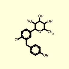 CC1OC(c2ccc(Cl)c(Cc3ccc(O)cc3)c2)C(O)C(O)C1O